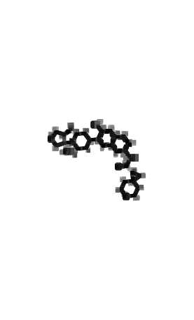 C[C@]1(N2CCC(c3cc4cc(NC(=O)[C@@H]5CC56CCOCC6)ncc4cc3Cl)CC2)COC[C@H]1F